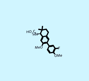 COc1ccc(-c2cc3c(cc2OC)[C@@H](NC(=O)O)C(C)(C)CC3)cc1F